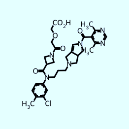 Cc1ccc(N(CCCN2CC3=CN(C(=O)c4c(C)ncnc4C)CC3C2)C(=O)C2CN(C(=O)COCC(=O)O)C2)cc1Cl